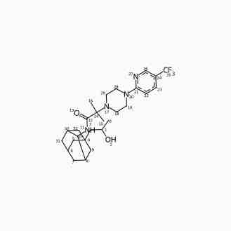 CC(O)CC12CC3CC(C1)C(NC(=O)C(C)(C)N1CCN(c4ccc(C(F)(F)F)cn4)CC1)C(C3)C2